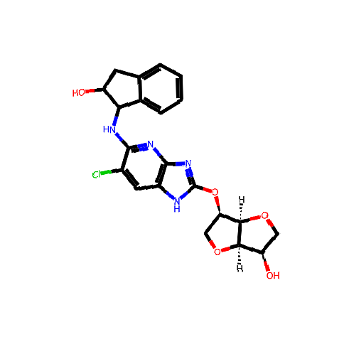 OC1Cc2ccccc2C1Nc1nc2nc(O[C@@H]3CO[C@H]4[C@@H]3OC[C@H]4O)[nH]c2cc1Cl